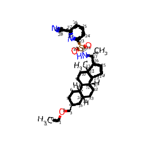 CCOC[C@H]1CC[C@@H]2C3CC[C@@]4(C)C(CCC4[C@@H](C)NS(=O)(=O)c4cccc(C#N)n4)[C@@H]3CC[C@@H]2C1